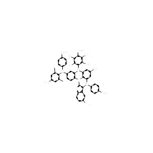 Bc1c(B)c(C(C)(C)C)c(B)c(B)c1N1c2cc(N(c3ccc(C(C)(C)C)cc3)c3c(C)cc(C(C)(C)C)cc3C)ccc2B2c3sc4ccc(C(C)(C)C)cc4c3N(c3ccc(C(C)(C)C)cc3)c3cc(CC)cc1c32